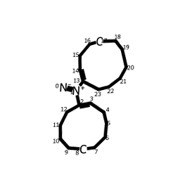 [N-]=[N+](C1=CCCCCCCCCC1)C1=CCCCCCCCCC1